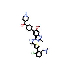 COc1cc2nc(C)nc(N[C@H](C)c3cc(-c4c(Cl)cccc4CN(C)C)cs3)c2cc1C1CCC(C(=O)C2CCNCC2)CC1